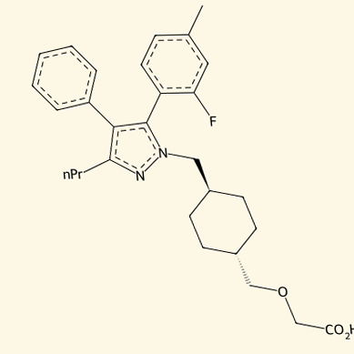 CCCc1nn(C[C@H]2CC[C@H](COCC(=O)O)CC2)c(-c2ccc(C)cc2F)c1-c1ccccc1